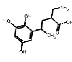 CC(CC(CN)C(=O)O)c1cc(O)cc(O)c1O